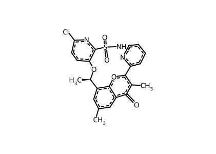 Cc1cc([C@@H](C)Oc2ccc(Cl)nc2S(N)(=O)=O)c2oc(-c3ccccn3)c(C)c(=O)c2c1